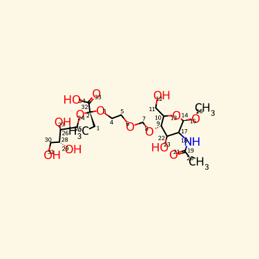 CC[C@@](OCCOCO[C@@H]1C(CO)O[C@@H](OC)C(NC(C)=O)C1O)(OC[C@H](O)[C@H](O)CO)C(=O)O